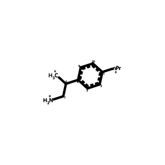 CCCc1ccc(C(C)CN)cc1